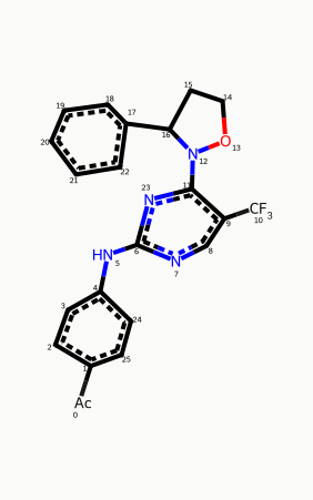 CC(=O)c1ccc(Nc2ncc(C(F)(F)F)c(N3OCCC3c3ccccc3)n2)cc1